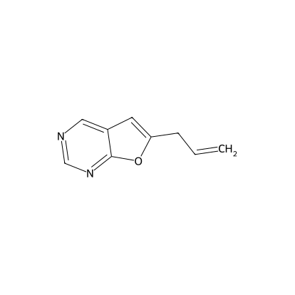 C=CCc1cc2cncnc2o1